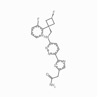 NC(=O)Cc1cnc(-c2ccc(NC[C@]3(c4ncccc4F)C[C@H](F)C3)nn2)s1